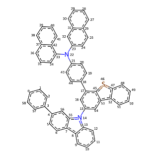 c1ccc(-c2ccc3c4ccccc4n(-c4cc(-c5ccc(N(c6ccc7ccccc7c6)c6cccc7ccccc67)cc5)c5sc6ccccc6c5c4)c3c2)cc1